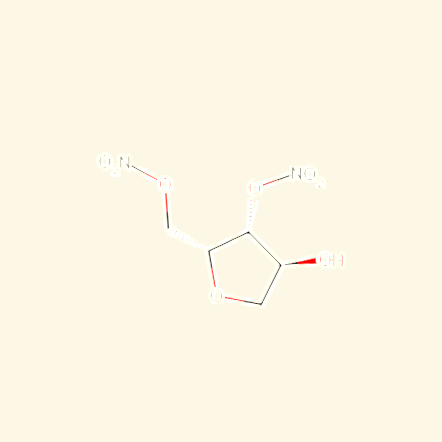 O=[N+]([O-])OC[C@H]1OC[C@H](O)[C@H]1O[N+](=O)[O-]